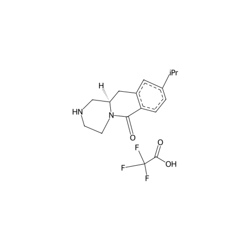 CC(C)c1ccc2c(c1)C[C@@H]1CNCCN1C2=O.O=C(O)C(F)(F)F